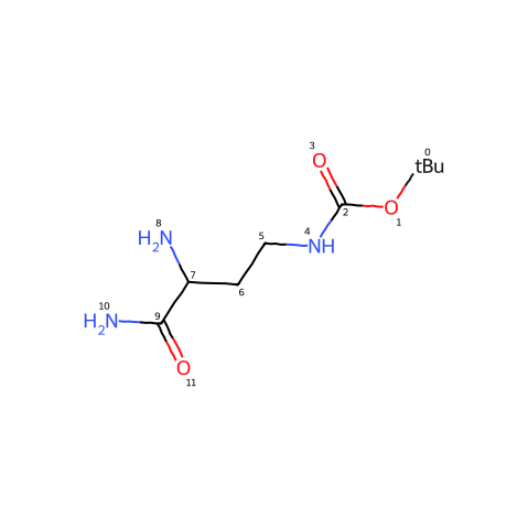 CC(C)(C)OC(=O)NCCC(N)C(N)=O